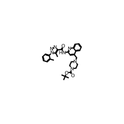 Cc1ccccc1-n1nnc(C(=O)Nc2cc(CN3CCN(C(=O)OC(C)(C)C)CC3)c3ccccc3n2)c1C